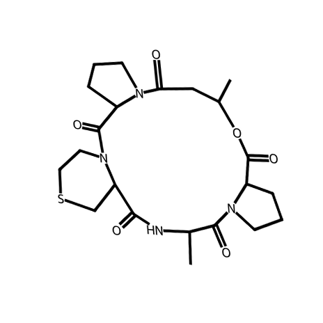 CC1CC(=O)N2CCCC2C(=O)N2CCSCC2C(=O)NC(C)C(=O)N2CCCC2C(=O)O1